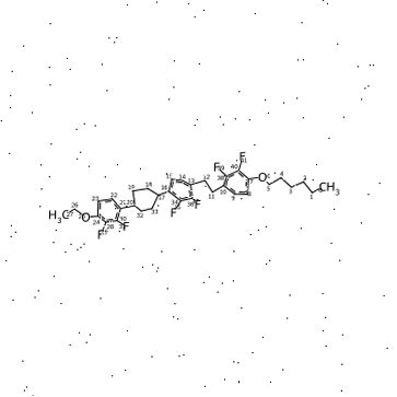 CCCCCCOc1ccc(CCc2ccc(C3CCC(c4ccc(OCC)c(F)c4F)CC3)c(F)c2F)c(F)c1F